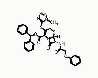 Cn1nnnc1SC1=C(C(=O)OC(c2ccccc2)c2ccccc2)N2C(=O)[C@@H](NC(=O)COc3ccccc3)[C@H]2SC1